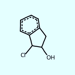 OC1Cc2ccccc2C1Cl